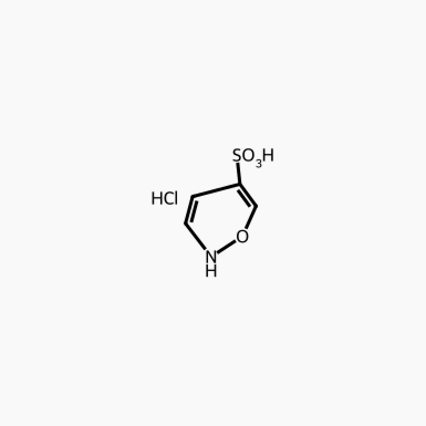 Cl.O=S(=O)(O)C1=CONC=C1